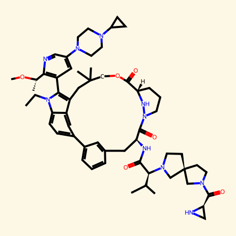 CCn1c(-c2cc(N3CCN(C4CC4)CC3)cnc2[C@H](C)OC)c2c3cc(ccc31)-c1cccc(c1)C[C@H](NC(=O)[C@H](C(C)C)N1CC[C@]3(CCN(C(=O)[C@H]4CN4)C3)C1)C(=O)N1CCC[C@H](N1)C(=O)OCC(C)(C)C2